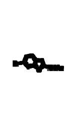 CC(=O)Nc1cc2ccc(Br)[c]c2o1